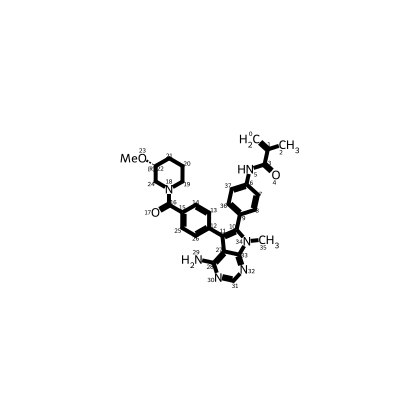 C=C(C)C(=O)Nc1ccc(-c2c(-c3ccc(C(=O)N4CCC[C@@H](OC)C4)cc3)c3c(N)ncnc3n2C)cc1